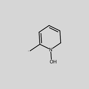 [CH2]C1=CC=CCN1O